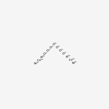 [Al+3].[Al+3].[Co+2].[Co+2].[Ni+2].[Ni+2].[O-2].[O-2].[O-2].[O-2].[O-2].[O-2].[O-2]